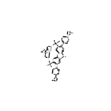 COc1ccc(-c2cc3c(cc2C(C)(C)C)-c2cc(C(C)(C)C)c(-c4ccc(OC)cc4)cc2[CH]3)cc1.[Cl][Zr][Cl]